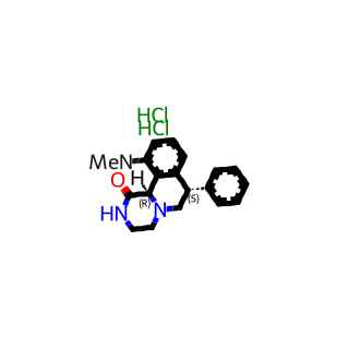 CNc1cccc2c1[C@@H]1C(=O)NCCN1C[C@H]2c1ccccc1.Cl.Cl